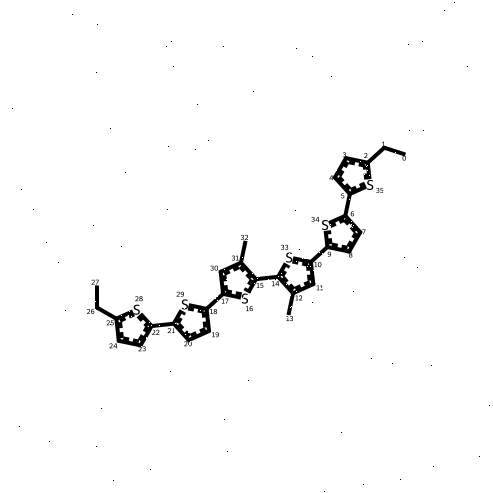 CCc1ccc(-c2ccc(-c3cc(C)c(-c4sc(-c5ccc(-c6ccc(CC)s6)s5)cc4C)s3)s2)s1